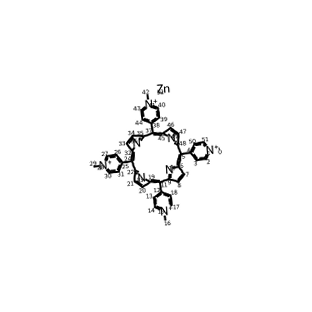 C[n+]1ccc(C2=C3C=CC(=N3)C(c3cc[n+](C)cc3)=C3C=CC(=N3)C(c3cc[n+](C)cc3)=C3C=CC(=N3)C(c3cc[n+](C)cc3)=C3C=CC2=N3)cc1.[Zn]